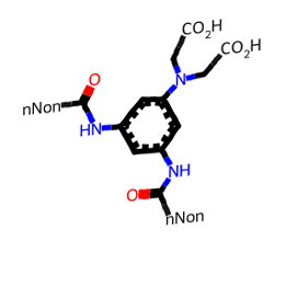 CCCCCCCCCC(=O)Nc1cc(NC(=O)CCCCCCCCC)cc(N(CC(=O)O)CC(=O)O)c1